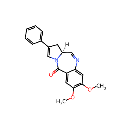 COc1cc2c(cc1OC)C(=O)N1C=C(c3ccccc3)C[C@H]1C=N2